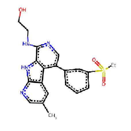 CCS(=O)(=O)c1cccc(-c2cnc(NCCO)c3[nH]c4ncc(C)cc4c23)c1